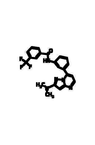 CN(C)c1cc2nccc(-c3cccc(NC(=O)c4cccc(C(F)(F)F)c4)c3)n2n1